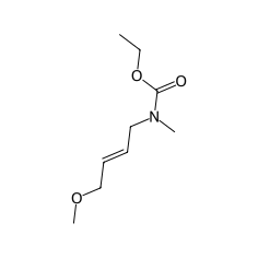 CCOC(=O)N(C)CC=CCOC